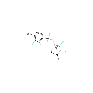 CCc1ccc(C(F)(F)OC23CCC(C)(CC2)C(F)=C3F)c(F)c1F